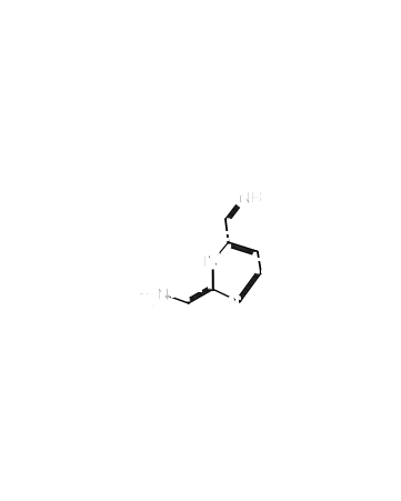 N=CC1=CC=C/C(=C/N)N1